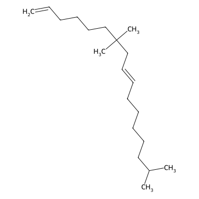 C=CCCCCC(C)(C)CC=CCCCCCC(C)C